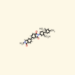 Cc1ccc(-c2ccc(N3C(=O)c4ccc(-c5ccc6c(c5)CN(C)C6=O)cc4C3=O)cc2S(=O)(=O)O)c(S(=O)(=O)O)c1